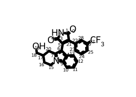 O=C1NC(=O)C(c2c3n(c4ccccc24)CCC(CO)C3)=C1c1cccc(C(F)(F)F)c1